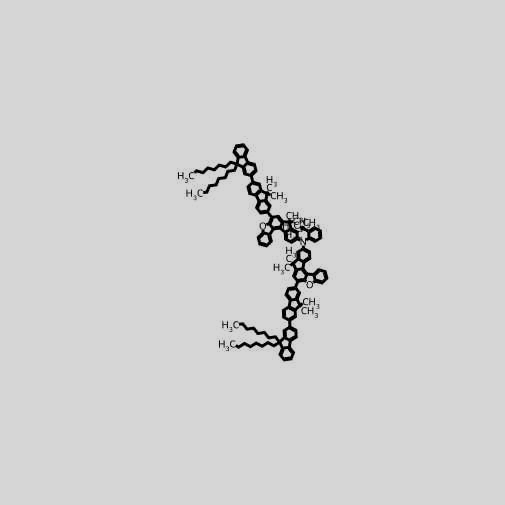 CCCCCCCCC1(CCCCCCCC)c2ccccc2-c2ccc(-c3ccc4c(c3)C(C)(C)c3cc(-c5cc6c(c7c5oc5ccccc57)-c5ccc(N(c7ccc8c(c7)C(C)(C)c7cc(-c9ccc%10c(c9)C(C)(C)c9cc(-c%11ccc%12c(c%11)C(CCCCCCCC)(CCCCCCCC)c%11ccccc%11-%12)ccc9-%10)c9oc%10ccccc%10c9c7-8)c7ccccc7C(C)(C)C)cc5C6(C)C)ccc3-4)cc21